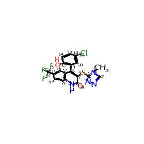 Cn1cnnc1Sc1c(-c2cc(Cl)ccc2O)c2cc(C(F)(F)F)ccc2[nH]c1=O